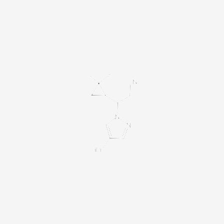 CC(C)c1cnn(C(CC#N)C2CC2(F)F)c1